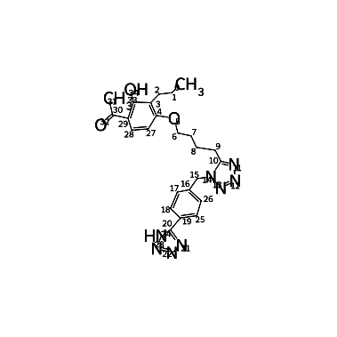 CCCc1c(OCCCCc2nnnn2Cc2ccc(-c3nnn[nH]3)cc2)ccc(C(C)=O)c1O